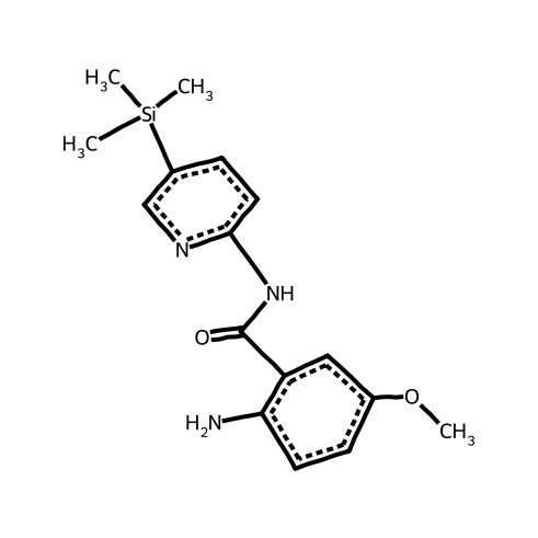 COc1ccc(N)c(C(=O)Nc2ccc([Si](C)(C)C)cn2)c1